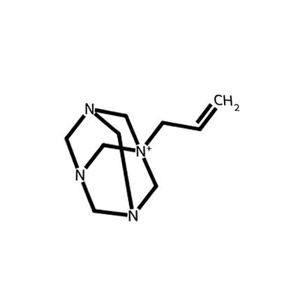 C=CC[N+]12CN3CN(CN(C3)C1)C2